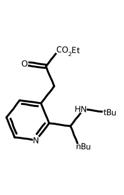 CCCCC(NC(C)(C)C)c1ncccc1CC(=O)C(=O)OCC